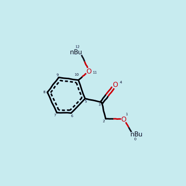 CCCCOCC(=O)c1ccccc1OCCCC